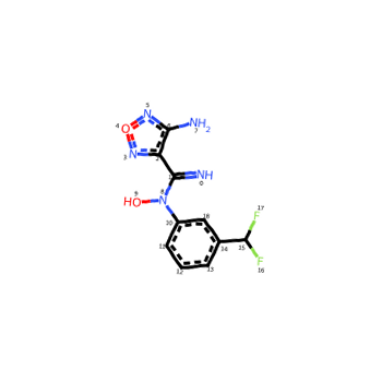 N=C(c1nonc1N)N(O)c1cccc(C(F)F)c1